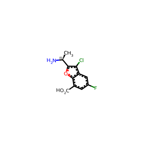 C[C@H](N)c1oc2c(C(=O)O)cc(F)cc2c1Cl